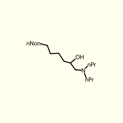 CCCCCCCCCCCCCC(O)CN(CCC)CCC